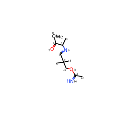 COC(=O)C(C)/N=C/C(C)(C)COC(C)=N